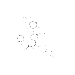 COC(=O)c1ccc(F)c(-c2nc3c(cc2C#N)c(N2CCN(C(=O)OC(C)(C)C)C[C@@H]2C)nc(=O)n3-c2c(C)ccnc2C(C)C)c1